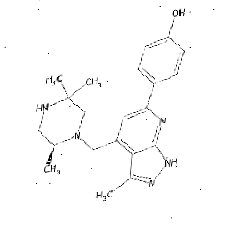 Cc1n[nH]c2nc(-c3ccc(O)cc3)cc(CN3CC(C)(C)NC[C@@H]3C)c12